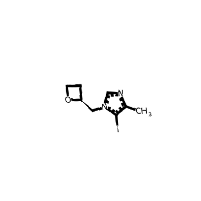 Cc1ncn(C[C@@H]2CCO2)c1I